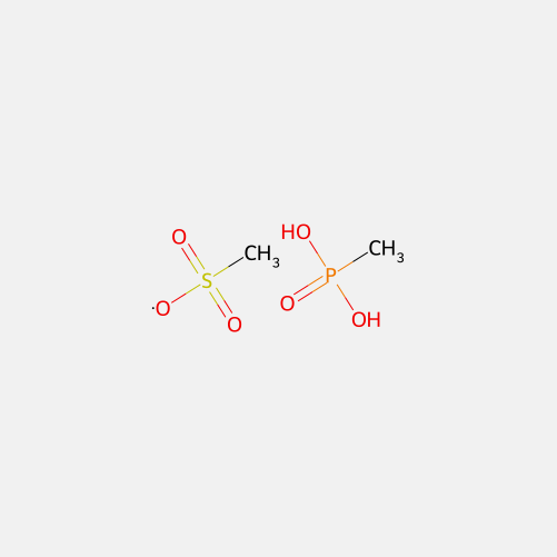 CP(=O)(O)O.CS([O])(=O)=O